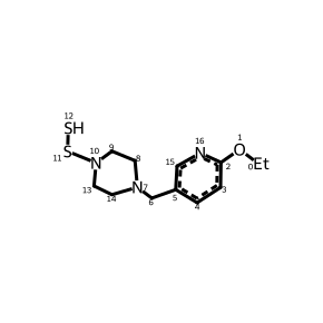 CCOc1ccc(CN2CCN(SS)CC2)cn1